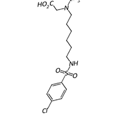 CN(CCCCCCNS(=O)(=O)c1ccc(Cl)cc1)CC(=O)O